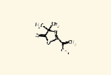 C=C(C)C1=NC(C)(C)C(=O)O1